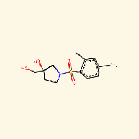 Cc1cc(C(F)(F)F)ccc1S(=O)(=O)N1CC[C@](O)(CO)C1